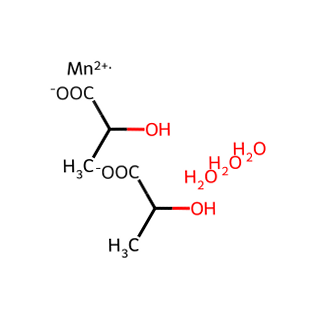 CC(O)C(=O)[O-].CC(O)C(=O)[O-].O.O.O.[Mn+2]